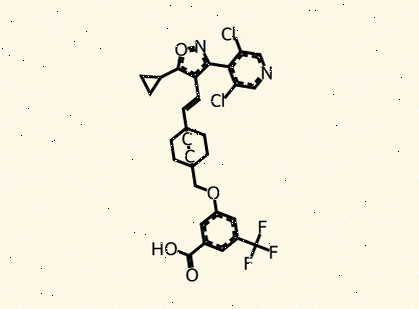 O=C(O)c1cc(OCC23CCC(/C=C/c4c(-c5c(Cl)cncc5Cl)noc4C4CC4)(CC2)CC3)cc(C(F)(F)F)c1